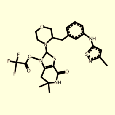 Cc1cc(Nc2cccc(CC3COCCN3C3SC4=C(CC(C)(C)NC4=O)N3OC(=O)C(F)(F)F)c2)sn1